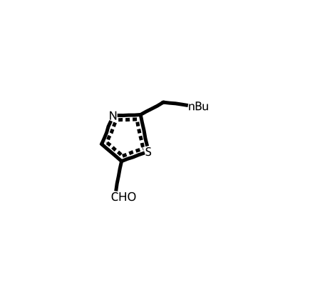 CCCCCc1ncc(C=O)s1